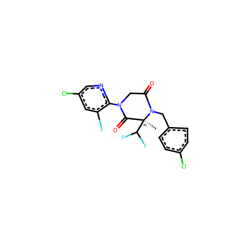 C[C@]1(C(F)F)C(=O)N(c2ncc(Cl)cc2F)CC(=O)N1Cc1ccc(Cl)cc1